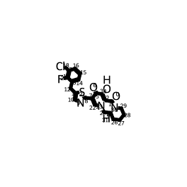 O=C1c2c(O)c(=O)c(-c3ncc(Cc4cccc(Cl)c4F)s3)cn2C[C@H]2CCCCN12